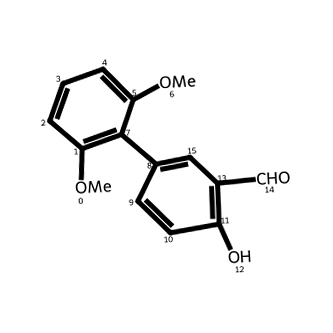 COc1cccc(OC)c1-c1ccc(O)c(C=O)c1